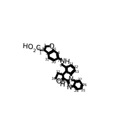 O=C(O)C[C@@H]1COc2cc(NCc3cccc4c3C3CCO[C@H]3c3nc5ccccc5n3-4)ccc21